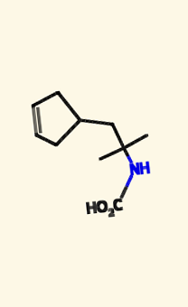 CC(C)(CC1CC=CC1)NC(=O)O